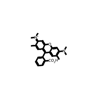 Cc1cc2c(-c3ccccc3C(=O)O)c3cc(C)c(=[N+](C)C)cc-3oc2cc1N(C)C